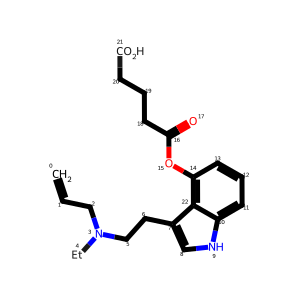 C=CCN(CC)CCc1c[nH]c2cccc(OC(=O)CCCC(=O)O)c12